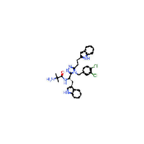 CC(C)(N)C(=O)N[C@H](Cc1c[nH]c2ccccc12)c1nnc(CCc2cc3ccccc3[nH]2)n1Cc1ccc(Cl)c(Cl)c1